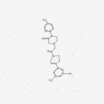 O=C(CN1CCN(c2ccc(C(F)(F)F)cn2)C(=O)C1)N1CC=C(c2cc(C(F)(F)F)cc(C(F)(F)F)c2)CC1